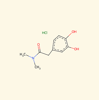 CN(C)C(=O)Cc1ccc(O)c(O)c1.Cl